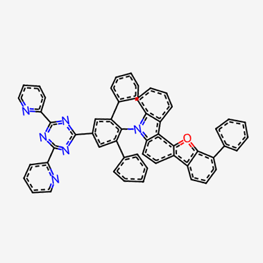 c1ccc(-c2cc(-c3nc(-c4ccccn4)nc(-c4ccccn4)n3)cc(-c3ccccc3)c2-n2c3ccccc3c3c4oc5c(-c6ccccc6)cccc5c4ccc32)cc1